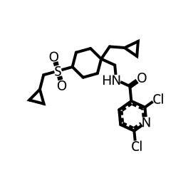 O=C(NCC1(CC2CC2)CCC(S(=O)(=O)CC2CC2)CC1)c1ccc(Cl)nc1Cl